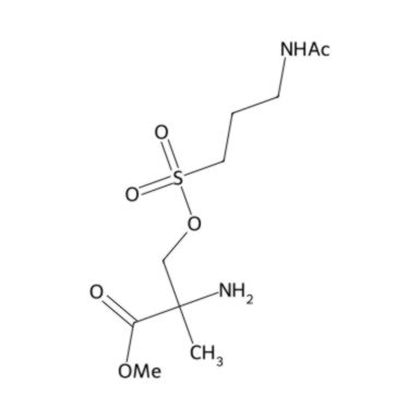 COC(=O)C(C)(N)COS(=O)(=O)CCCNC(C)=O